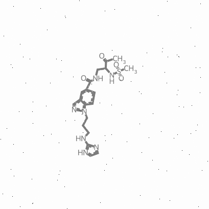 CC(=O)C(CNC(=O)c1ccc2c(cnn2CCCNc2ncc[nH]2)c1)NS(C)(=O)=O